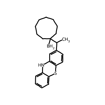 BC1(C(C)c2ccc3c(c2)Nc2ccccc2S3)CCCCCCCC1